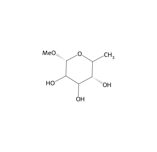 CO[C@@H]1OC(C)[C@H](O)C(O)C1O